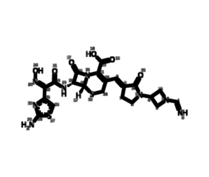 N=CN1CC(N2CCC(=CC3=C(C(=O)O)N4C(=O)[C@@H](NC(=O)/C(=N\O)c5csc(N)n5)[C@H]4SC3)C2=O)C1